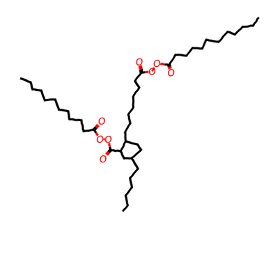 CCCCCCCCCCCC(=O)OOC(=O)CCCCCCCC1CCC(CCCCCC)CC1C(=O)OOC(=O)CCCCCCCCCCC